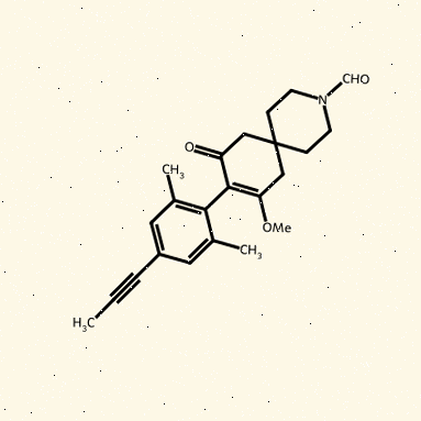 CC#Cc1cc(C)c(C2=C(OC)CC3(CCN(C=O)CC3)CC2=O)c(C)c1